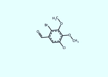 COc1c(Cl)cc(C=O)c(Br)c1OC